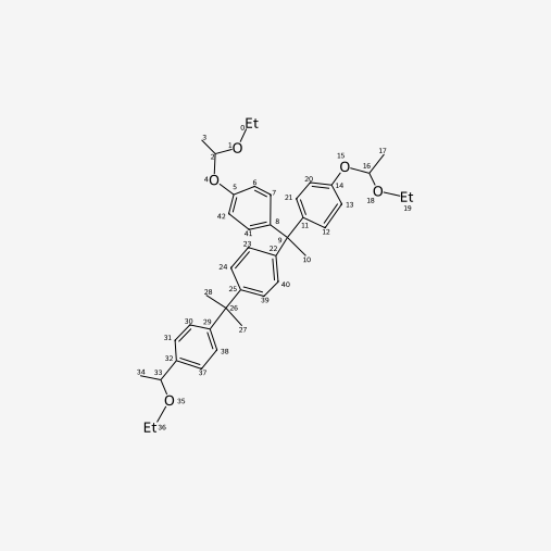 CCOC(C)Oc1ccc(C(C)(c2ccc(OC(C)OCC)cc2)c2ccc(C(C)(C)c3ccc(C(C)OCC)cc3)cc2)cc1